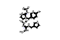 CN/C(=N/[N+](=O)[O-])NCC1CCOC1.O=[N+]([O-])/N=C1\NCCN1Cc1ccc(Cl)nc1